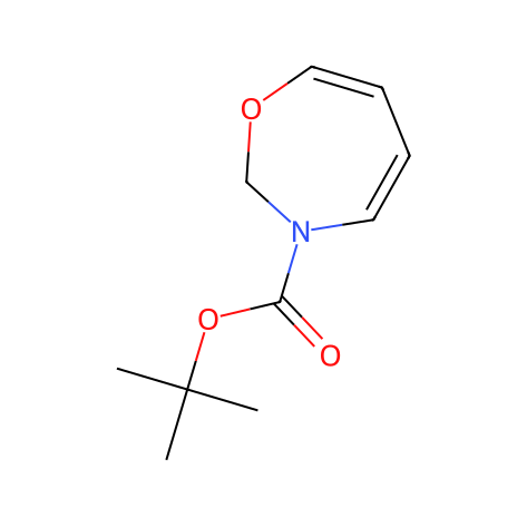 CC(C)(C)OC(=O)N1C=CC=COC1